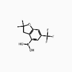 CC1(C)Cc2c(cc(C(F)(F)F)cc2B(O)O)O1